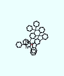 c1ccc(-c2nc(-c3ccccc3)nc(-c3ccc4c(c3)C3(c5ccccc5-c5cc6c7ccccc7n(-c7ccccc7)c6cc53)c3ccccc3C4(c3ccccc3)c3ccccc3)n2)cc1